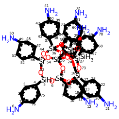 Nc1ccc([SiH]2O[Si]3(c4ccc(N)cc4)O[Si]4(c5ccc(N)cc5)O[Si](O[SiH3])(c5ccc(N)cc5)O[Si]5(c6ccc(N)cc6)O[Si](c6ccc(N)cc6)(O2)O[Si](c2ccc(N)cc2)(O3)O[Si](c2ccc(N)cc2)(O4)O5)cc1